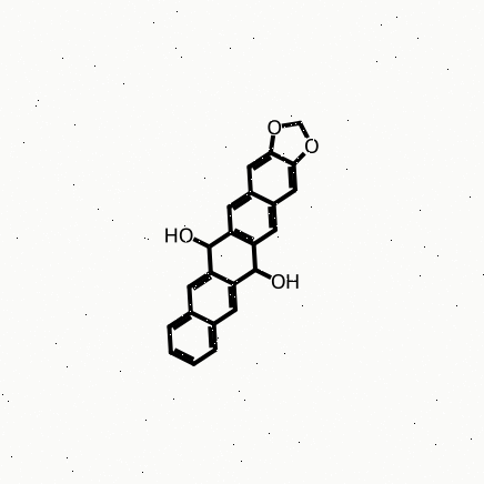 OC1c2cc3ccccc3cc2C(O)c2cc3cc4c(cc3cc21)OCO4